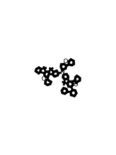 CC1(C)c2cc(N(c3ccc4c(c3)C(C)(C)c3c5c(c6oc7ccccc7c6c3-4)-c3ccccc3C5(C)C)c3ccc4oc5ccccc5c4c3)ccc2-c2c1cc(-c1ccccc1-c1ccccc1)c1oc3ccccc3c21